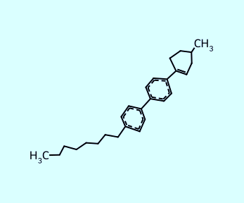 CCCCCCCCc1ccc(-c2ccc(C3=CCC(C)CC3)cc2)cc1